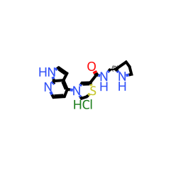 Cl.O=C(NC[C@H]1CCCN1)C1=CN(c2ccnc3[nH]ccc23)CCS1